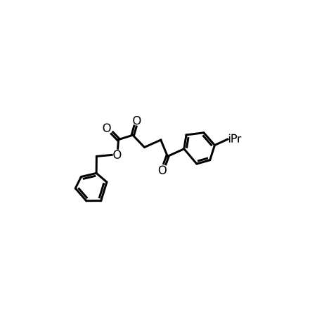 CC(C)c1ccc(C(=O)CCC(=O)C(=O)OCc2ccccc2)cc1